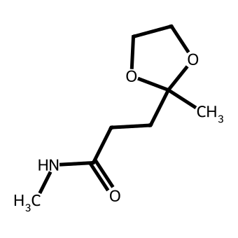 CNC(=O)CCC1(C)OCCO1